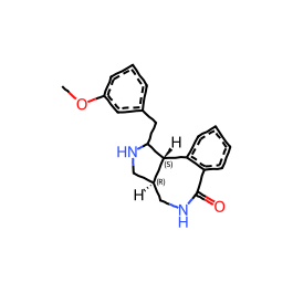 COc1cccc(CC2NC[C@@H]3CNC(=O)c4ccccc4[C@@H]23)c1